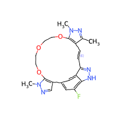 Cc1nn(C)c2c1/C=C/c1n[nH]c3c(F)cc(cc13)-c1cnn(C)c1OCCOCCO2